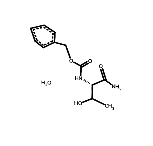 CC(O)[C@H](NC(=O)OCc1ccccc1)C(N)=O.O